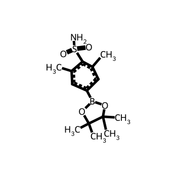 Cc1cc(B2OC(C)(C)C(C)(C)O2)cc(C)c1S(N)(=O)=O